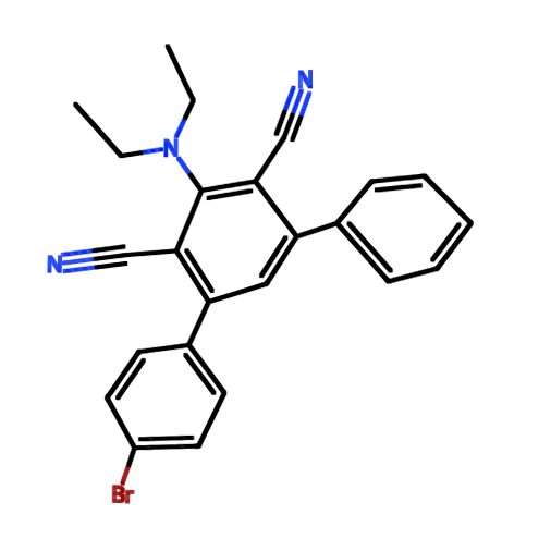 CCN(CC)c1c(C#N)c(-c2ccccc2)cc(-c2ccc(Br)cc2)c1C#N